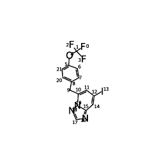 FC(F)(F)Oc1ccc(Cc2cc(I)cc3ncnn23)cc1